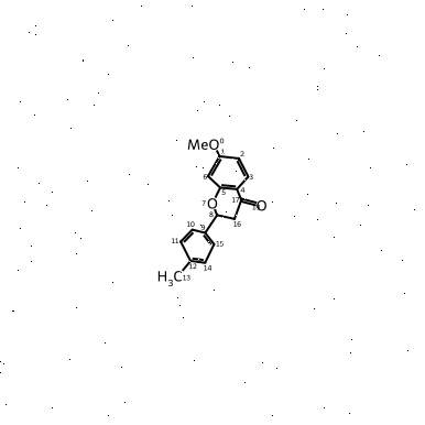 COc1ccc2c(c1)OC(c1ccc(C)cc1)CC2=O